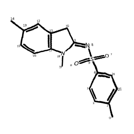 Cc1ccc(S(=O)(=O)N=C2Cc3cc(C)ccc3N2C)cc1